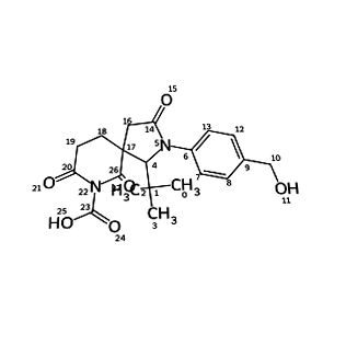 CC(C)(C)C1N(c2ccc(CO)cc2)C(=O)CC12CCC(=O)N(C(=O)O)C2=O